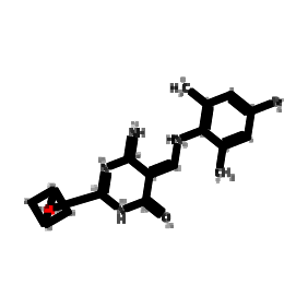 Cc1cc(Br)cc(C)c1N/C=C1\C(=N)N=C(N2CC3CC2C3)NC1=O